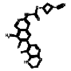 Cc1c(-c2cc3cc(NC(=O)O[C@H]4C[C@@H](C#N)C4)ncc3c(N)c2F)cnc2c1NCCO2